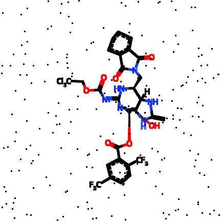 C=C1N[C@H]2[C@H](CN3C(=O)c4ccccc4C3=O)N/C(=N\C(=O)OCC(Cl)(Cl)Cl)N3C[C@H](OC(=O)c4cc(C(F)(F)F)ccc4C(F)(F)F)[C@H](O)[C@]23N1